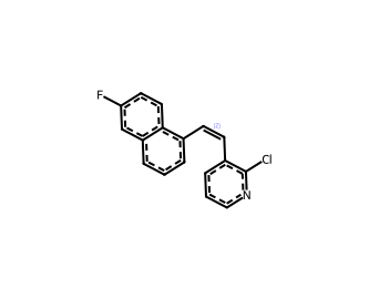 Fc1ccc2c(/C=C\c3cccnc3Cl)cccc2c1